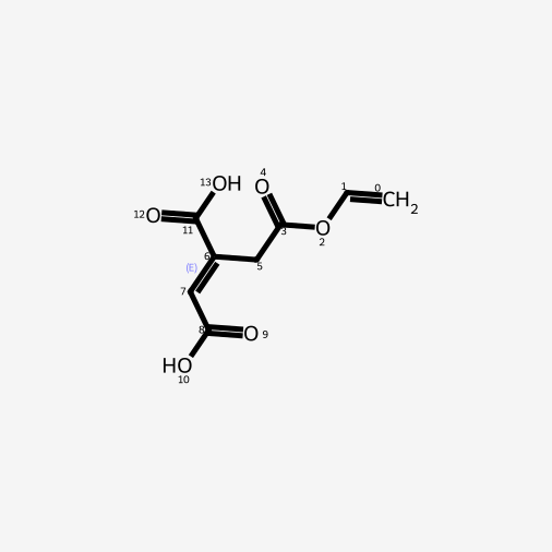 C=COC(=O)C/C(=C\C(=O)O)C(=O)O